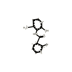 Cc1ccnc(O)c1NC(=O)c1cccnc1Br